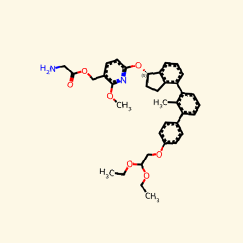 CCOC(COc1ccc(-c2cccc(-c3cccc4c3CC[C@@H]4Oc3ccc(COC(=O)CN)c(OC)n3)c2C)cc1)OCC